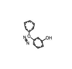 N#N.Oc1cccc(Oc2ccccc2)c1